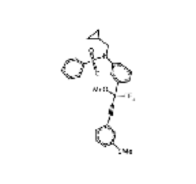 COC(C#Cc1cccc(SC)c1)(c1cccc(N(CC2CC2)S(=O)(=O)c2ccccc2)c1)C(F)(F)F